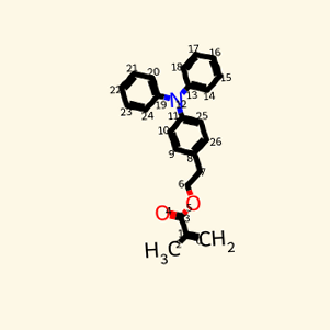 C=C(C)C(=O)OCCc1ccc(N(c2ccccc2)c2ccccc2)cc1